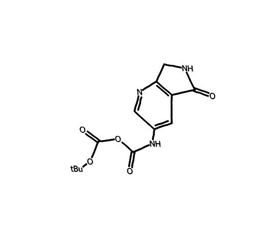 CC(C)(C)OC(=O)OC(=O)Nc1cnc2c(c1)C(=O)NC2